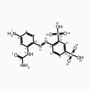 NC(=O)Nc1cc(N)ccc1N=Nc1ccc(S(=O)(=O)O)cc1S(=O)(=O)O